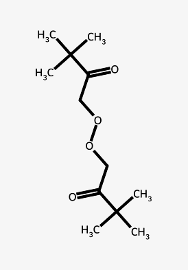 CC(C)(C)C(=O)COOCC(=O)C(C)(C)C